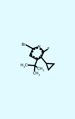 CC(C)(C)c1cc(Br)nc(F)c1C1CC1